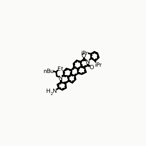 CCCCC(CC)Cn1c2cc(N)ccc2c2ccc3c4ccc5c(=O)n(-c6c(C(C)C)cccc6C(C)C)c(=O)c6ccc(c7ccc1c2c37)c4c56